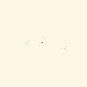 Cc1cc(C(=O)N(C)CCNCC2=CCN(CCCOc3ccc4c(ccc(=O)n4C)c3)C=C2)no1.Cl.Cl